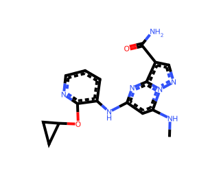 CNc1cc(Nc2cccnc2OC2CC2)nc2c(C(N)=O)cnn12